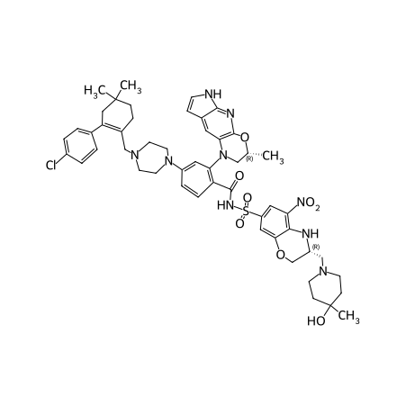 C[C@@H]1CN(c2cc(N3CCN(CC4=C(c5ccc(Cl)cc5)CC(C)(C)CC4)CC3)ccc2C(=O)NS(=O)(=O)c2cc3c(c([N+](=O)[O-])c2)N[C@H](CN2CCC(C)(O)CC2)CO3)c2cc3cc[nH]c3nc2O1